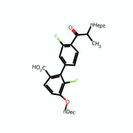 CCCCCCCCCCOc1ccc(C(=O)O)c(-c2ccc(C(=O)C(C)CCCCCCC)c(F)c2)c1F